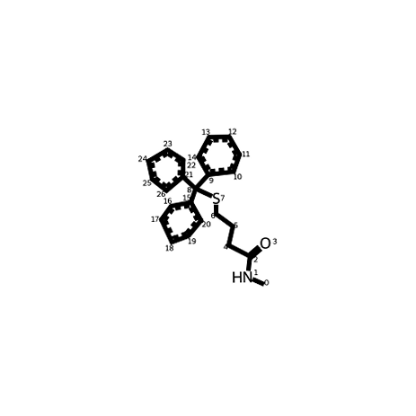 CNC(=O)CCCSC(c1ccccc1)(c1ccccc1)c1ccccc1